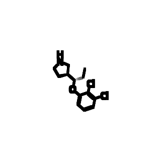 CC[C@H](Oc1cccc(Cl)c1Cl)[C@H]1CCNC1